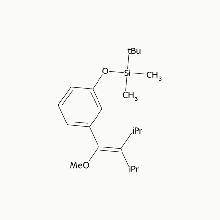 COC(=C(C(C)C)C(C)C)c1cccc(O[Si](C)(C)C(C)(C)C)c1